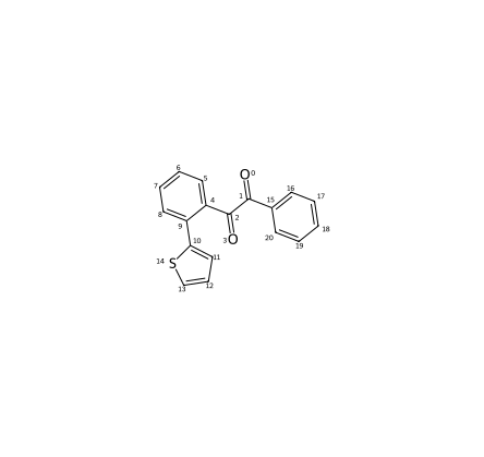 O=C(C(=O)c1ccccc1-c1cccs1)c1ccccc1